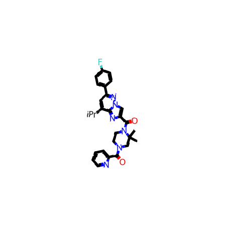 CC(C)c1cc(-c2ccc(F)cc2)nn2cc(C(=O)N3CCN(C(=O)c4ccccn4)CC3(C)C)nc12